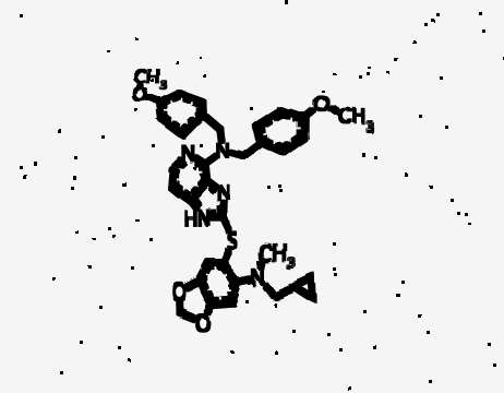 COc1ccc(CN(Cc2ccc(OC)cc2)c2nccc3[nH]c(Sc4cc5c(cc4N(C)CC4CC4)OCO5)nc23)cc1